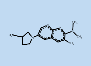 CN(C)c1nc2ncc(N3CCC(N)C3)cc2cc1N